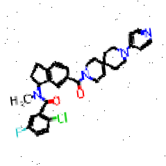 CN(C(=O)c1cc(F)ccc1Cl)C1CCc2ccc(C(=O)N3CCC4(CC3)CCN(c3ccncc3)CC4)cc21